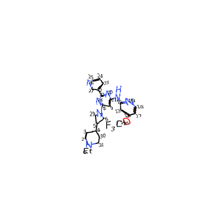 CCN1CCC(C2CN(c3cc(Nc4cc(OC(F)(F)F)ccn4)nc(-c4cccnc4)n3)C2)CC1